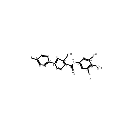 Cc1ccc(-c2ccc(C(=O)Oc3cc(F)c(C(F)(F)F)c(F)c3)c(F)c2)cc1